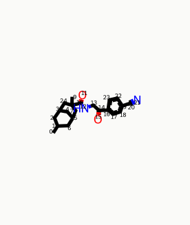 CC1CC2CC(C1)CC(C)(C(=O)NCC(=O)c1ccc(C#N)cc1)C2